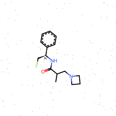 CC(CN1CCC1)C(=O)N[C@@H](CF)c1ccccc1